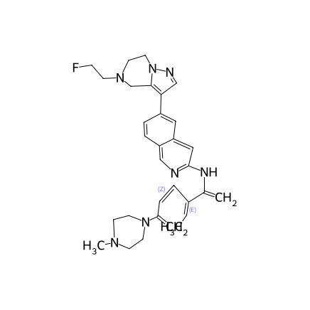 C=C(Nc1cc2cc(-c3cnn4c3CN(CCF)CC4)ccc2cn1)C(/C=C\C(=C)N1CCN(C)CC1)=C/C